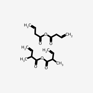 C=CC(C)C(=O)OC(=O)C(C)C=C.C=CCC(=O)OC(=O)CC=C